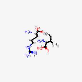 CCC(C)[C@H](N)C(=O)O.N=C(N)NCCC[C@H](N)C(=O)O